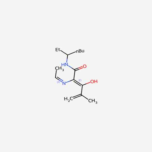 C=C(C)/C(O)=C(\N=C/C)C(=O)NC(CC)CCCC